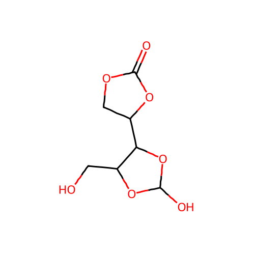 O=C1OCC(C2OC(O)OC2CO)O1